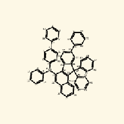 c1ccc(-c2ccc(N(c3ccccc3)c3cc4ccccc4c4c3-c3ccc(-c5ccccc5)cc3C4(c3ccccc3)c3ccccc3)cc2)cc1